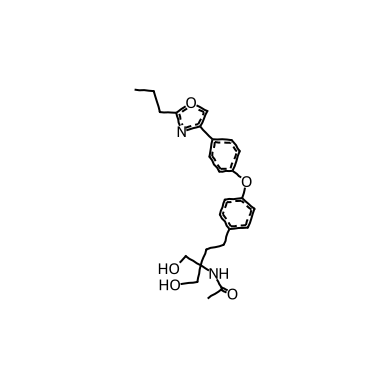 CCCc1nc(-c2ccc(Oc3ccc(CCC(CO)(CO)NC(C)=O)cc3)cc2)co1